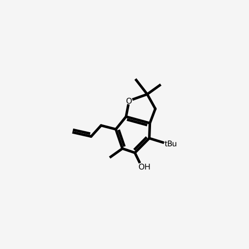 C=CCc1c(C)c(O)c(C(C)(C)C)c2c1OC(C)(C)C2